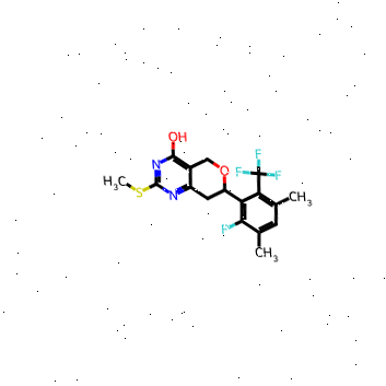 CSc1nc(O)c2c(n1)CC(c1c(F)c(C)cc(C)c1C(F)(F)F)OC2